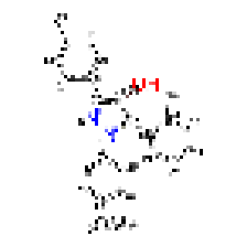 COc1ccc(-n2nc(-c3ccc(C)cc3)c(O)c2-c2ccccc2C)cc1